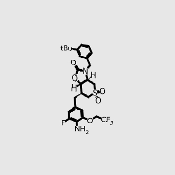 CC(C)(C)c1cccc(CN2C(=O)O[C@H]3[C@H](Cc4cc(F)c(N)c(OCC(F)(F)F)c4)CS(=O)(=O)C[C@@H]32)c1